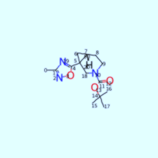 Cc1noc(C23C[C@@H]2CCN(C(=O)OC(C)(C)C)C3)n1